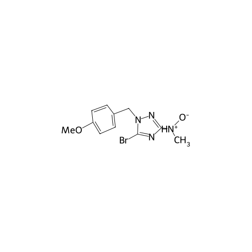 COc1ccc(Cn2nc([NH+](C)[O-])nc2Br)cc1